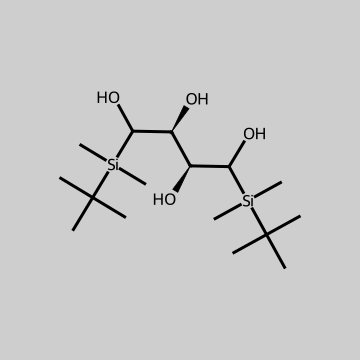 CC(C)(C)[Si](C)(C)C(O)[C@@H](O)[C@H](O)C(O)[Si](C)(C)C(C)(C)C